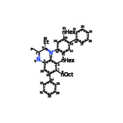 CCCCCCCCc1c(CCCCCC)cc(N=C(C)C(CC)=Nc2ccc(-c3ccccc3)c(CCCCCC)c2)cc1-c1ccccc1